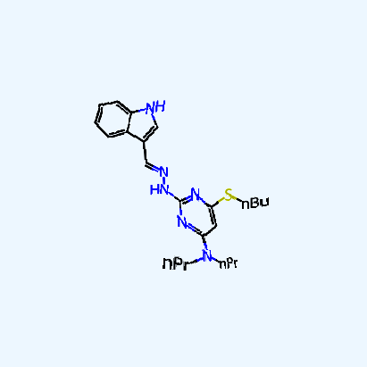 CCCCSc1cc(N(CCC)CCC)nc(N/N=C/c2c[nH]c3ccccc23)n1